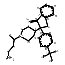 CC(CCN)N1CCC(C2(c3ccc(C(F)(F)F)cc3)Cc3ccccc3C2=N)CC1